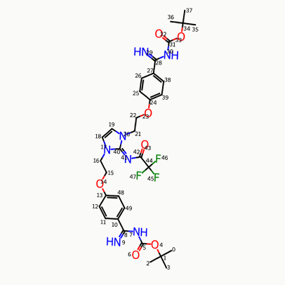 CC(C)(C)OC(=O)NC(=N)c1ccc(OCCn2ccn(CCOc3ccc(C(=N)NC(=O)OC(C)(C)C)cc3)c2=NC(=O)C(F)(F)F)cc1